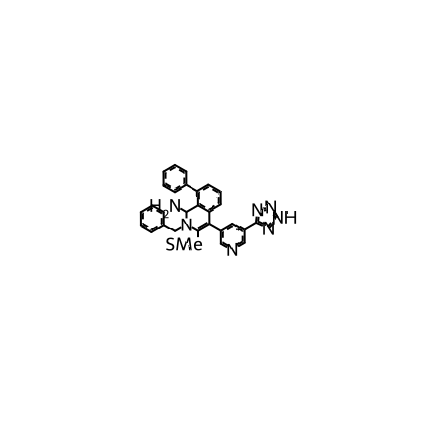 CSC1=C(c2cncc(-c3nn[nH]n3)c2)c2cccc(-c3ccccc3)c2C(N)N1Cc1ccccc1